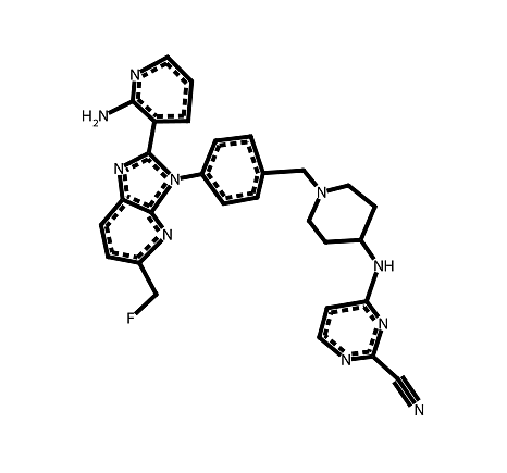 N#Cc1nccc(NC2CCN(Cc3ccc(-n4c(-c5cccnc5N)nc5ccc(CF)nc54)cc3)CC2)n1